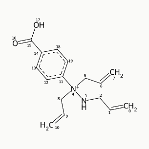 C=CCN[N+](CC=C)(CC=C)c1ccc(C(=O)O)cc1